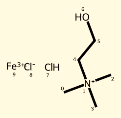 C[N+](C)(C)CCO.Cl.[Cl-].[Fe+3]